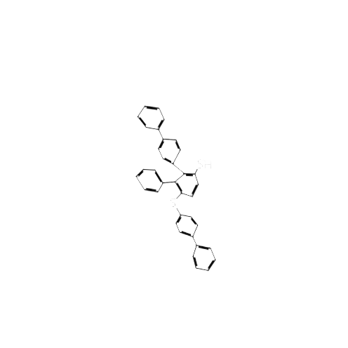 Sc1ccc(Sc2ccc(-c3ccccc3)cc2)c(-c2ccccc2)c1-c1ccc(-c2ccccc2)cc1